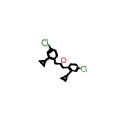 O=C(Cc1ccc(Cl)cc1C1CC1)Cc1ccc(Cl)cc1C1CC1